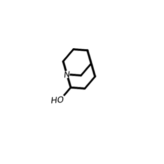 OC1CCC2CCCN1C2